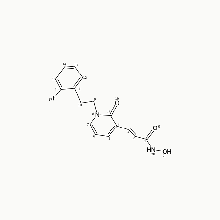 O=C(/C=C/c1cccn(CCc2ccccc2F)c1=O)NO